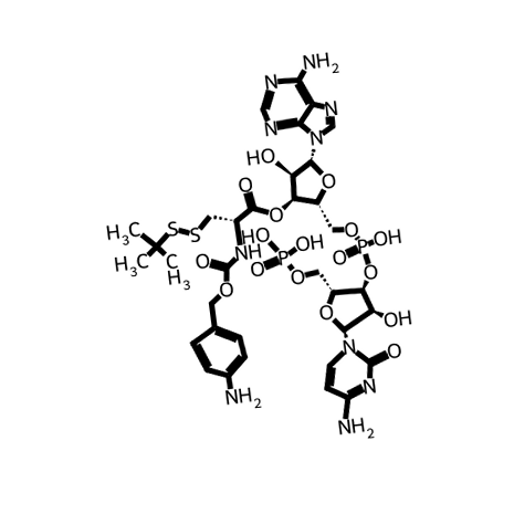 CC(C)(C)SSC[C@@H](NC(=O)OCc1ccc(N)cc1)C(=O)O[C@H]1[C@@H](O)[C@H](n2cnc3c(N)ncnc32)O[C@@H]1COP(=O)(O)O[C@H]1[C@@H](O)[C@H](n2ccc(N)nc2=O)O[C@@H]1COP(=O)(O)O